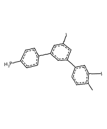 Cc1ccc(-c2cc(I)cc(-c3ccc(P)cc3)c2)cc1I